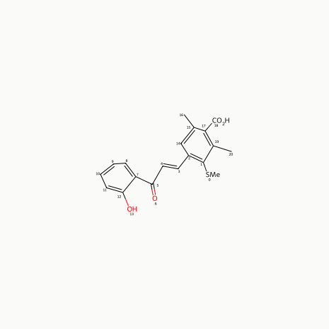 CSc1c(C=CC(=O)c2ccccc2O)cc(C)c(C(=O)O)c1C